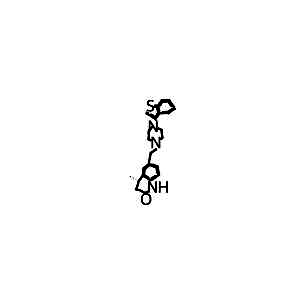 C[C@H]1CC(=O)Nc2ccc(CCN3CCN(c4csc5ccccc45)CC3)cc21